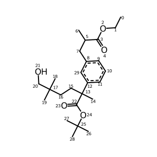 CCOC(=O)C(C)Cc1cccc(C(C)(CCC(C)(C)CO)C(=O)OC(C)(C)C)c1